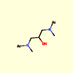 CC(=O)N(C)CC(O)CN(C)C(C)=O